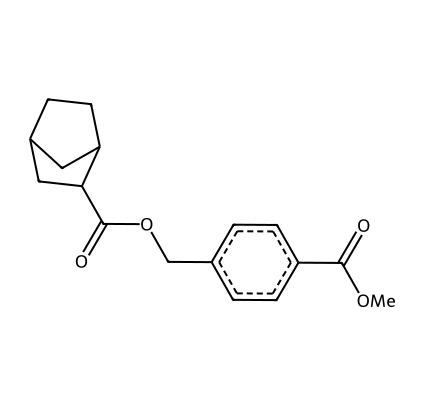 COC(=O)c1ccc(COC(=O)C2CC3CCC2C3)cc1